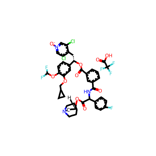 O=C(NC(C(=O)O[C@H]1CN2CCC1CC2)c1ccc(F)cc1)c1cccc(C(=O)O[C@@H](Cc2c(Cl)c[n+]([O-])cc2Cl)c2ccc(OC(F)F)c(OCC3CC3)c2)c1.O=C(O)C(F)(F)F